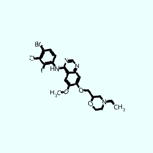 CCN1CCOC(COc2cc3ncnc(Nc4ccc(Br)c(Cl)c4F)c3cc2OC)C1